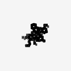 Cc1ncnc2c1ncn2[C@@H]1O[C@H]([C@H](C)OP(=O)(N[C@@H](C)C(=O)OCC(C)(C)C)Oc2cccc3ccccc23)[C@H]2OC(=O)O[C@H]21